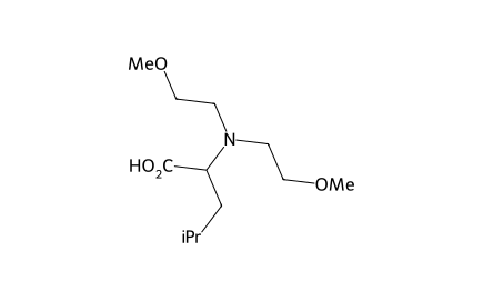 COCCN(CCOC)C(CC(C)C)C(=O)O